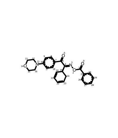 O=C(O/N=C(/C(=O)c1ccc(N2CCOCC2)cc1)C1C=CC=CC1)c1ccccc1